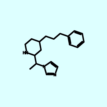 CC(C1CC(CCCc2ccccc2)CCN1)n1ccnc1